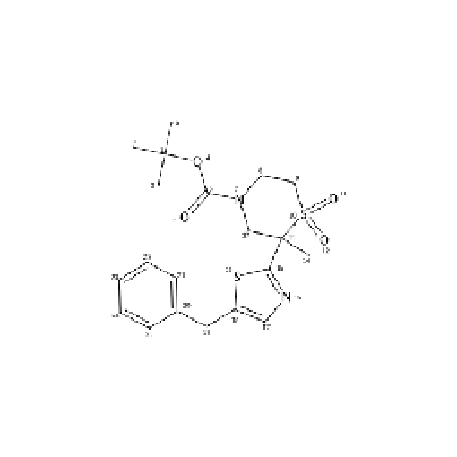 CC(C)(C)OC(=O)N1CCS(=O)(=O)C(C)(c2ncc(Cc3ccccc3)s2)C1